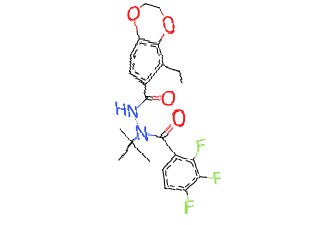 CCc1c(C(=O)NN(C(=O)c2ccc(F)c(F)c2F)C(C)(C)C)ccc2c1OCCO2